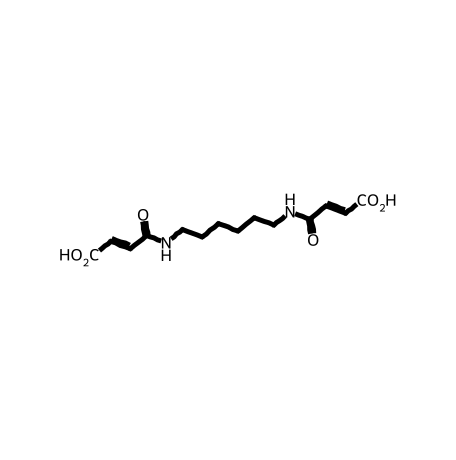 O=C(O)C=CC(=O)NCCCCCCNC(=O)C=CC(=O)O